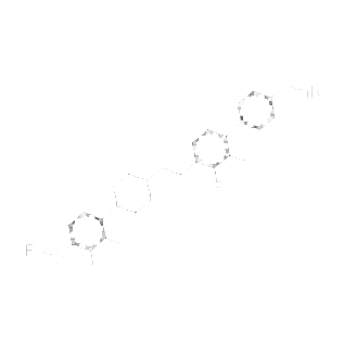 CCCCOc1ccc(-c2ccc(CCC3CCC(c4ccc(OCC)c(F)c4F)CC3)c(F)c2F)cc1